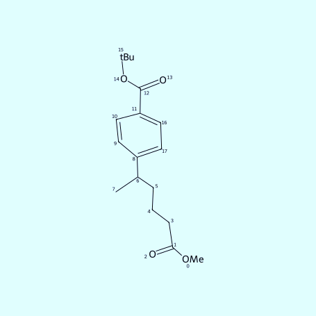 COC(=O)CCCC(C)c1ccc(C(=O)OC(C)(C)C)cc1